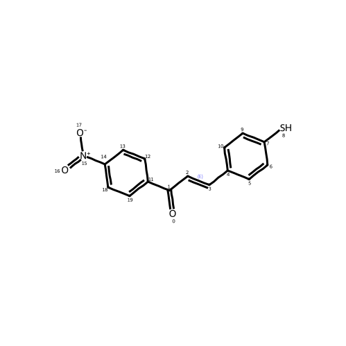 O=C(/C=C/c1ccc(S)cc1)c1ccc([N+](=O)[O-])cc1